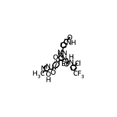 CCc1c(N2CCN(C(=O)c3ncnc(C)c3O)CC2)c(=O)n2nc(-c3ccc4c(c3)NC(=O)C4)nc2n1CC(=O)Nc1ccc(C(F)(F)F)cc1Cl